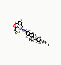 Cc1cccc(C)c1N1C(=O)CCS/C1=N\N=C\c1ccc2c(ccc3c2ncn3-c2ccc(OC(F)(F)F)cc2)c1